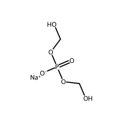 O=P([O-])(OCO)OCO.[Na+]